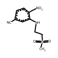 CS(=O)(=O)CCNc1cc(C#N)ccc1[N+](=O)[O-]